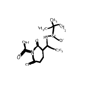 CC(N[S+]([O-])C(C)(C)C)C1CCC(=O)N(C(=O)O)C1=O